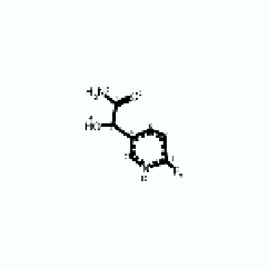 NC(=O)C(O)c1ccc(F)nc1